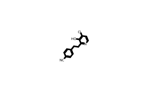 N#Cc1ccc(CCc2nccc(Cl)c2O)cc1